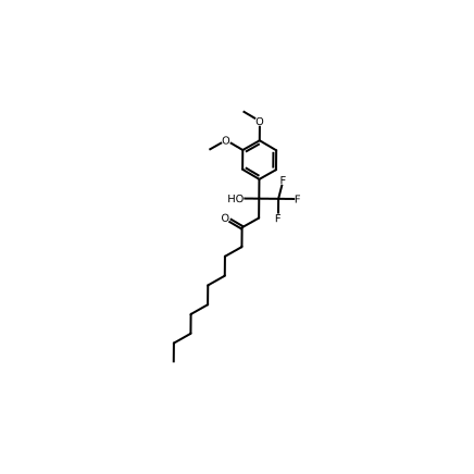 CCCCCCCCCC(=O)CC(O)(c1ccc(OC)c(OC)c1)C(F)(F)F